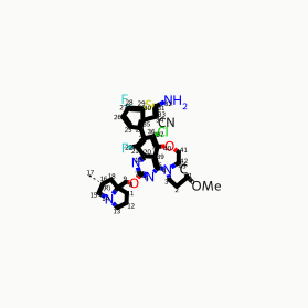 COC1CCN2c3nc(OCC45CCCN4C[C@H](C)C5)nc4c(F)c(-c5ccc(F)c6sc(N)c(C#N)c56)c(Cl)c(c34)OCC2C1